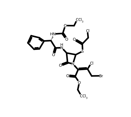 O=C(N[C@H](C(=O)NC1C(=O)N(C(C(=O)OCC(Cl)(Cl)Cl)=C(Cl)CBr)C1SC(=O)CCl)c1ccccc1)OCC(Cl)(Cl)Cl